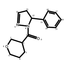 O=C(C1CCCOC1)N1N=CCC1c1ccccc1